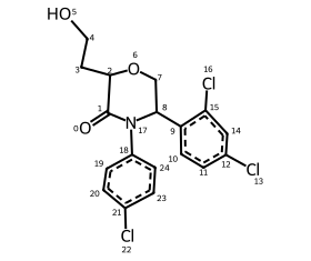 O=C1C(CCO)OCC(c2ccc(Cl)cc2Cl)N1c1ccc(Cl)cc1